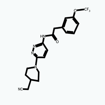 N#CCC1CCN(c2ccc(NC(=O)Cc3cccc(OC(F)(F)F)c3)nn2)CC1